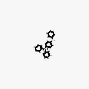 c1ccc(Sc2ccc([SH](c3ccccc3)c3ccccc3)cc2)cc1